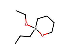 CCC[Si]1(OCC)CCCCO1